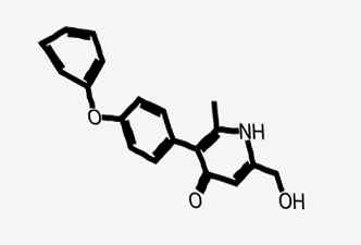 Cc1[nH]c(CO)cc(=O)c1-c1ccc(Oc2ccccc2)cc1